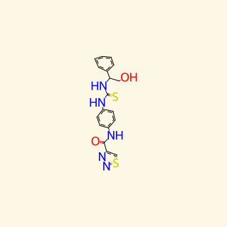 O=C(Nc1ccc(NC(=S)NC(CO)c2ccccc2)cc1)c1csnn1